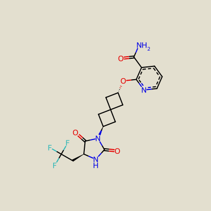 NC(=O)c1cccnc1O[C@H]1CC2(C1)C[C@H](N1C(=O)N[C@@H](CC(F)(F)F)C1=O)C2